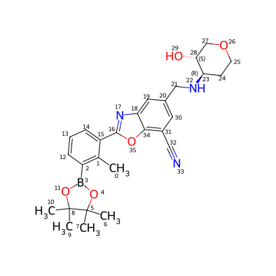 Cc1c(B2OC(C)(C)C(C)(C)O2)cccc1-c1nc2cc(CN[C@@H]3CCOC[C@H]3O)cc(C#N)c2o1